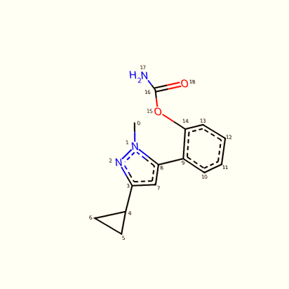 Cn1nc(C2CC2)cc1-c1ccccc1OC(N)=O